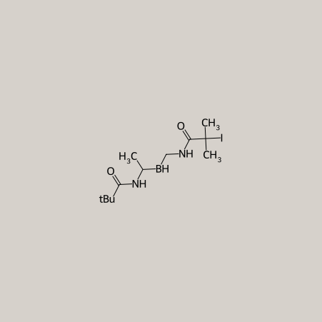 CC(BCNC(=O)C(C)(C)I)NC(=O)C(C)(C)C